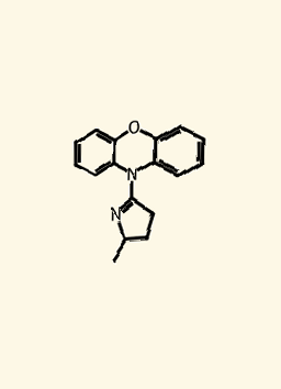 CC1CCC(N2c3ccccc3Oc3ccccc32)=N1